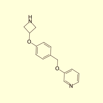 c1cncc(OCc2ccc(OC3CNC3)cc2)c1